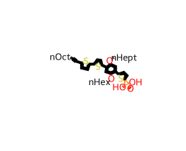 CCCCCCCCC#Cc1ccc(-c2ccc(-c3cc(OCCCCCC)c(-c4ccc(P(=O)(O)O)s4)cc3OCCCCCCC)s2)s1